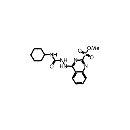 COS(=O)(=O)c1nc(NNC(=O)NC2CCCCC2)c2ccccc2n1